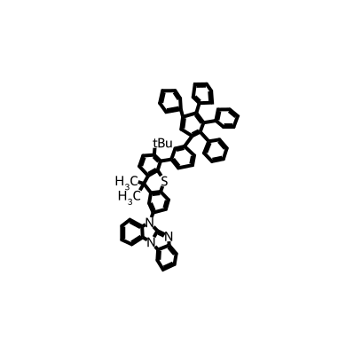 CC(C)(C)c1ccc2c(c1-c1cccc(-c3cc(-c4ccccc4)c(-c4ccccc4)c(-c4ccccc4)c3-c3ccccc3)c1)Sc1ccc(-n3c4ccccc4n4c5ccccc5nc34)cc1C2(C)C